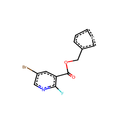 O=C(OCc1ccccc1)c1cc(Br)cnc1F